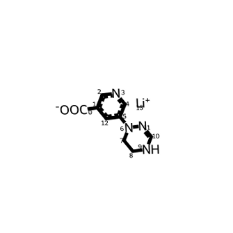 O=C([O-])c1cncc(N2CCNC=N2)c1.[Li+]